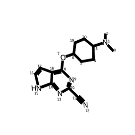 CN(C)C1CCC(Oc2nc(C#N)nc3[nH]ccc23)CC1